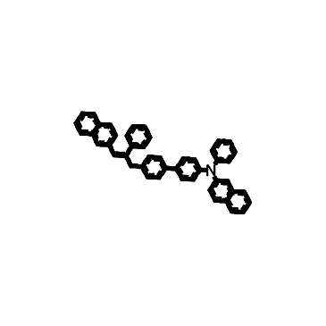 C(=C(\Cc1ccc(-c2ccc(N(c3ccccc3)c3ccc4ccccc4c3)cc2)cc1)c1ccccc1)/c1ccc2ccccc2c1